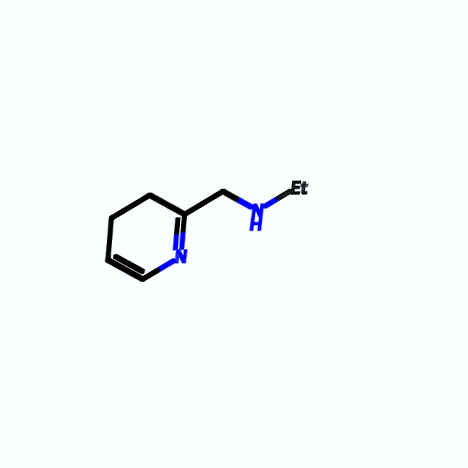 CCNCC1=NC=CCC1